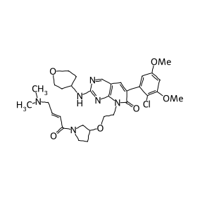 COc1cc(OC)c(Cl)c(-c2cc3cnc(NC4CCOCC4)nc3n(CCOC3CCN(C(=O)C=CCN(C)C)C3)c2=O)c1